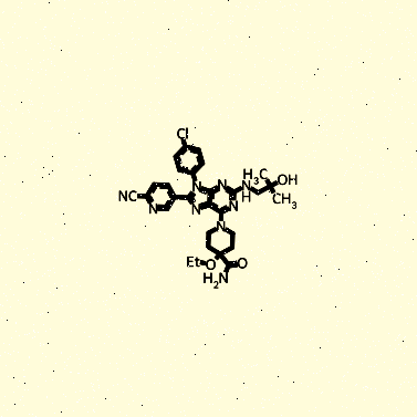 CCOC1(C(N)=O)CCN(c2nc(NCC(C)(C)O)nc3c2nc(-c2ccc(C#N)nc2)n3-c2ccc(Cl)cc2)CC1